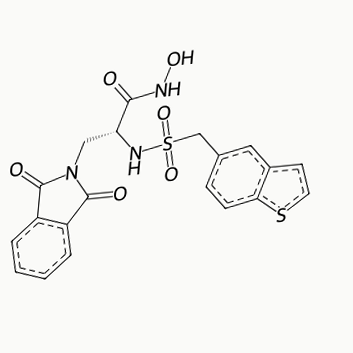 O=C(NO)[C@@H](CN1C(=O)c2ccccc2C1=O)NS(=O)(=O)Cc1ccc2sccc2c1